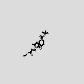 CCOC(=O)CCN1C(=O)C2(CCCN(C(=O)OC(C)(C)C)C2)CC1C